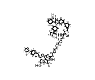 Cc1ncsc1-c1ccc(CNC(=O)[C@@H]2C[C@@H](O)CN2C(=O)[C@@H](NC(=O)CCOCCOCCOCCNC(=O)CCc2cccc(-c3ccc4nc(-c5cccnc5N)n(-c5ccc(C6(N)CCC6)cc5)c4n3)c2)C(C)(C)C)cc1